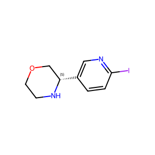 Ic1ccc([C@H]2COCCN2)cn1